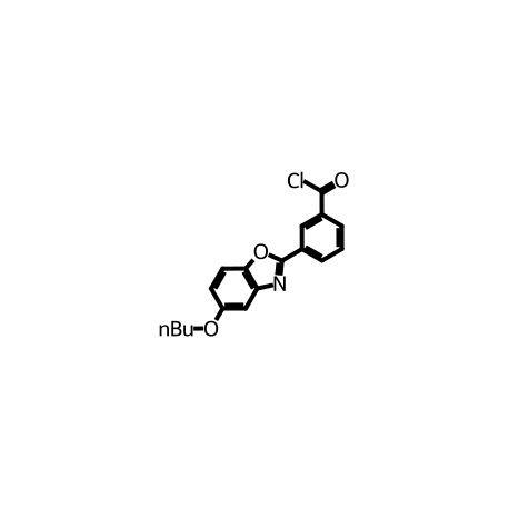 CCCCOc1ccc2oc(-c3cccc(C(=O)Cl)c3)nc2c1